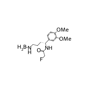 BNCCC[C@@H](NC(=O)CF)c1ccc(OC)c(OC)c1